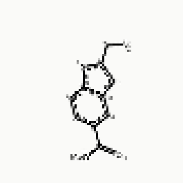 COC(=O)c1ccc2sc(CBr)cc2c1